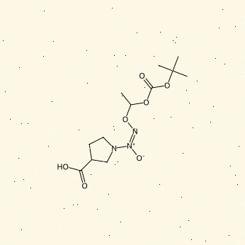 CC(O/N=[N+](/[O-])N1CCC(C(=O)O)C1)OC(=O)OC(C)(C)C